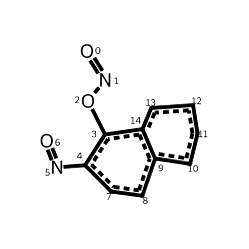 O=NOc1c(N=O)ccc2ccccc12